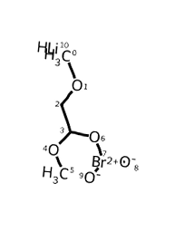 COCC(OC)O[Br+2]([O-])[O-].[LiH]